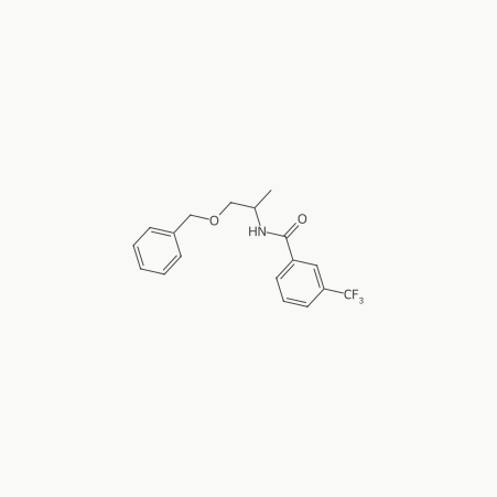 CC(COCc1ccccc1)NC(=O)c1cccc(C(F)(F)F)c1